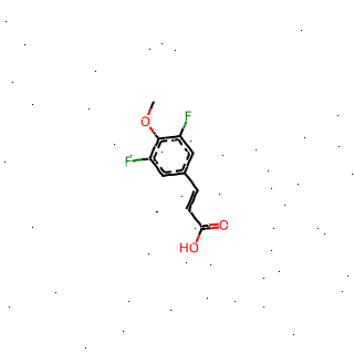 COc1c(F)cc(/C=C/C(=O)O)cc1F